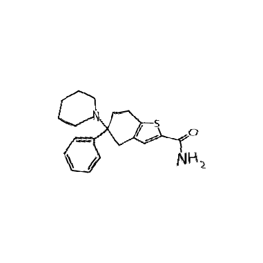 NC(=O)c1cc2c(s1)CCC(c1ccccc1)(N1CCCCC1)C2